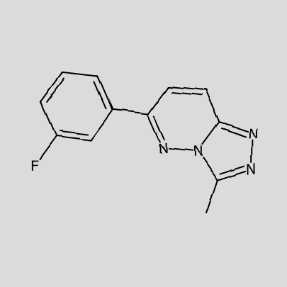 Cc1nnc2ccc(-c3cccc(F)c3)nn12